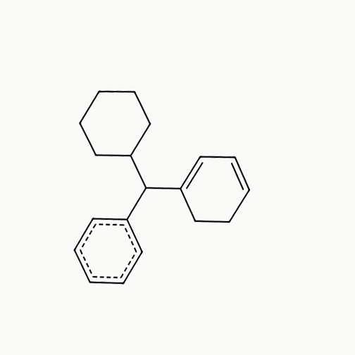 C1=CCCC(C(c2ccccc2)C2CCCCC2)=C1